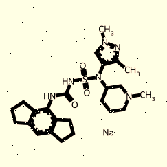 Cc1nn(C)cc1N(C1CCCN(C)C1)S(=O)(=O)NC(=O)Nc1c2c(cc3c1CCC3)CCC2.[Na]